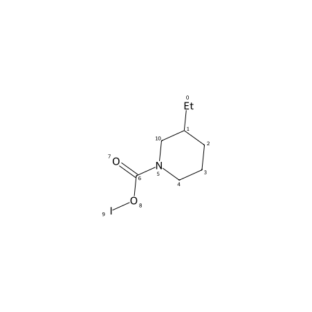 CCC1CCCN(C(=O)OI)C1